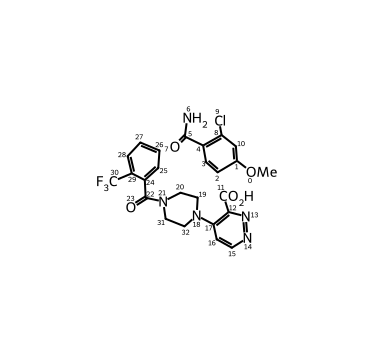 COc1ccc(C(N)=O)c(Cl)c1.O=C(O)c1nnccc1N1CCN(C(=O)c2ccccc2C(F)(F)F)CC1